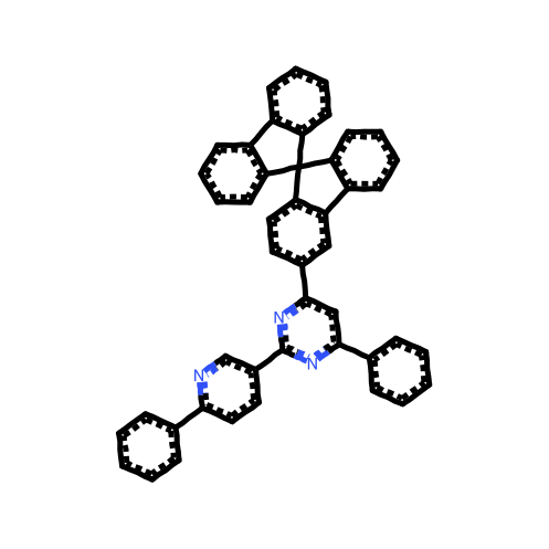 c1ccc(-c2ccc(-c3nc(-c4ccccc4)cc(-c4ccc5c(c4)-c4ccccc4C54c5ccccc5-c5ccccc54)n3)cn2)cc1